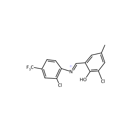 Cc1cc(Cl)c(O)c(/C=N/c2ccc(C(F)(F)F)cc2Cl)c1